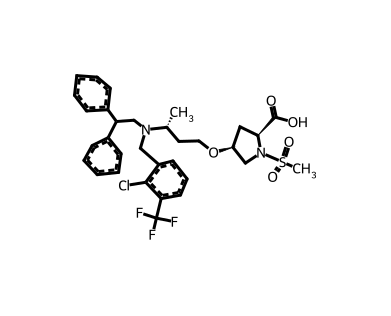 C[C@H](CCO[C@H]1C[C@@H](C(=O)O)N(S(C)(=O)=O)C1)N(Cc1cccc(C(F)(F)F)c1Cl)CC(c1ccccc1)c1ccccc1